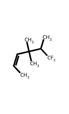 C/C=C\C(C)(C)C(C)C(F)(F)F